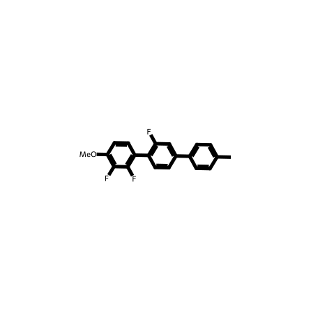 COc1ccc(-c2ccc(-c3ccc(C)cc3)cc2F)c(F)c1F